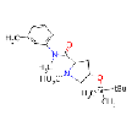 Cc1cccc(N(C)C(=O)[C@@H]2C[C@H](O[Si](C)(C)C(C)(C)C)CN2C(=O)O)c1